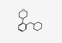 c1ccc(N2CCOCC2)c(CN2CCCCC2)c1